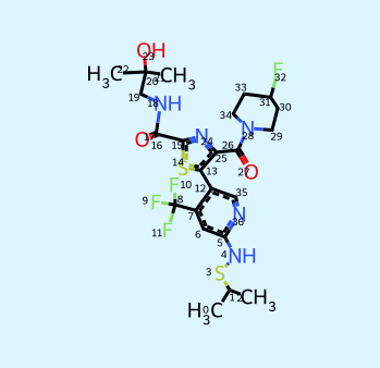 CC(C)SNc1cc(C(F)(F)F)c(-c2sc(C(=O)NCC(C)(C)O)nc2C(=O)N2CCC(F)CC2)cn1